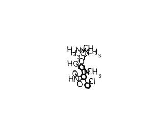 CN(CCCOc1cc2c(cc1O)c1c3c(c(-c4ccccc4Cl)cc1n2C)C(=O)NC3=O)C(C)(C)CN